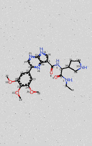 CCNC(=O)C(NC(=O)c1c[nH]c2ncc(-c3cc(OC)c(OC)c(OC)c3)nc12)C1CCNC1